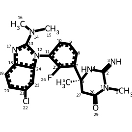 CN1C(=N)N[C@](C)(c2cccc(-n3c(N(C)C)nc4ccc(Cl)cc43)c2F)CC1=O